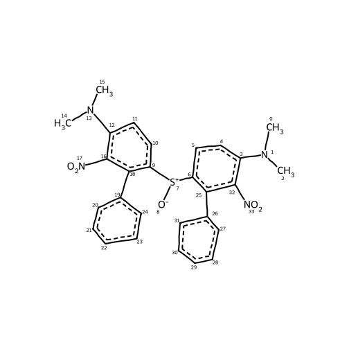 CN(C)c1ccc([S+]([O-])c2ccc(N(C)C)c([N+](=O)[O-])c2-c2ccccc2)c(-c2ccccc2)c1[N+](=O)[O-]